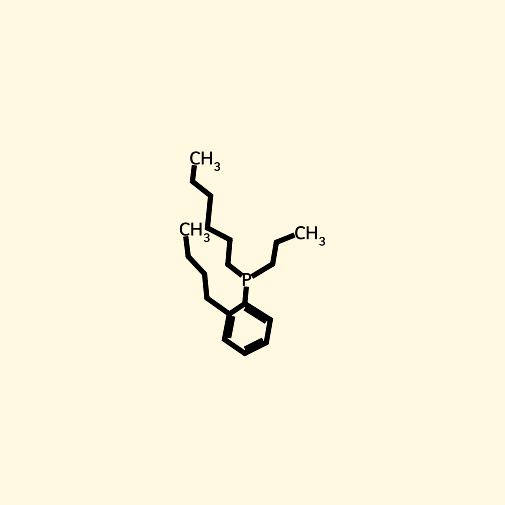 CCCCCCP(CCC)c1ccccc1CCCC